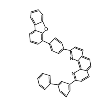 c1ccc(-c2cccc(-c3ccc4ccc5ccc(-c6ccc(-c7cccc8c7oc7ccccc78)cc6)nc5c4n3)c2)cc1